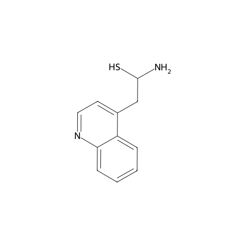 NC(S)Cc1ccnc2ccccc12